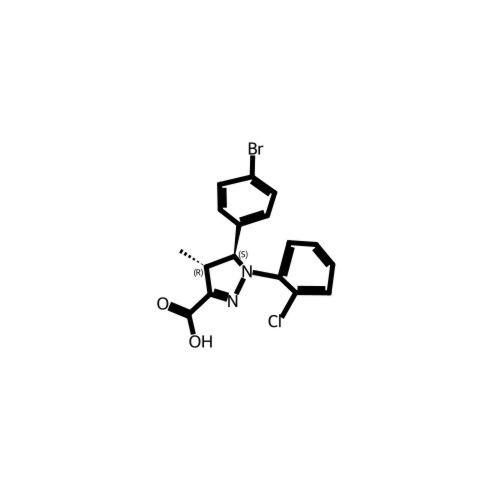 C[C@H]1C(C(=O)O)=NN(c2ccccc2Cl)[C@@H]1c1ccc(Br)cc1